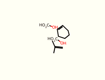 C1=CCCCC1.C=C(C)C.O=C(O)O.O=C(O)O